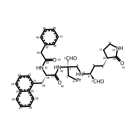 CC(C)C[C@](C=O)(CN[C@H](C=O)CC[C@@H]1CCNC1=O)NC(=O)[C@H](Cc1cccc2ccccc12)NC(=O)Cc1ccccc1